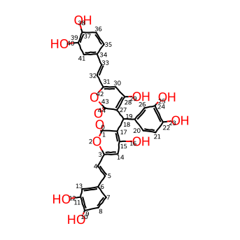 O=c1oc(C=Cc2ccc(O)c(O)c2)cc(O)c1C(c1ccc(O)c(O)c1)c1c(O)cc(C=Cc2ccc(O)c(O)c2)oc1=O